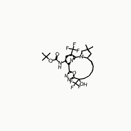 CC1(C)CC2CCCCCC(O)(C(F)(F)F)c3nnc(o3)-c3nc(c(C(F)(F)F)cc3NC(=O)OC(C)(C)C)N2C1